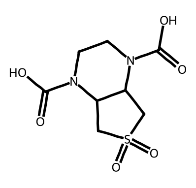 O=C(O)N1CCN(C(=O)O)C2CS(=O)(=O)CC21